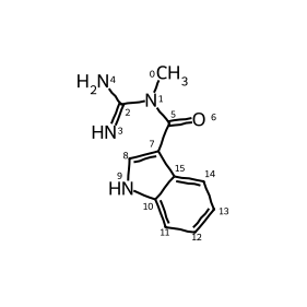 CN(C(=N)N)C(=O)c1c[nH]c2ccccc12